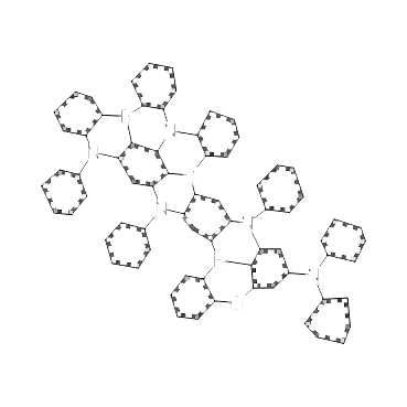 c1ccc(N(c2ccccc2)c2cc3c4c(c2)N(c2ccccc2)c2cc5c(cc2B4c2ccccc2O3)N(c2ccccc2)c2cc3c4c6c2B5c2ccccc2N6c2ccccc2B4c2ccccc2N3c2ccccc2)cc1